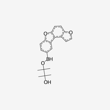 CC(C)(O)C(C)(C)OBc1ccc2oc3ccc4occc4c3c2c1